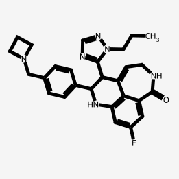 CCCn1ncnc1C1C2=CCNC(=O)c3cc(F)cc(c32)NC1c1ccc(CN2CCC2)cc1